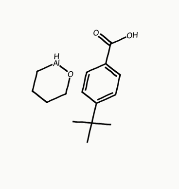 C1C[CH2][AlH][O]C1.CC(C)(C)c1ccc(C(=O)O)cc1